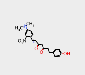 CN(C)c1ccc(/C=C/C(=O)CC(=O)CCc2ccc(O)cc2)c([N+](=O)[O-])c1